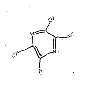 [C-]#[N+]c1nc(Cl)c(Cl)nc1C#N